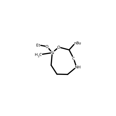 CCCCC1CNCCC[Si](C)(OCC)O1